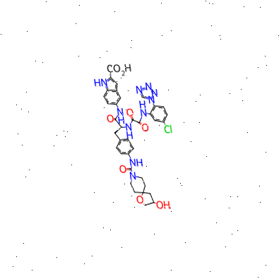 O=C(Nc1cc(Cl)ccc1-n1cnnn1)C(=O)N[C@@H](Cc1ccc(NC(=O)N2CCC3(CC2)CC(O)CO3)cc1)C(=O)Nc1ccc2[nH]c(C(=O)O)cc2c1